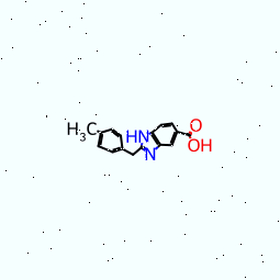 Cc1ccc(Cc2nc3cc(C(=O)O)ccc3[nH]2)cc1